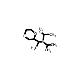 CC(C)N(C(C)C)C(C)C1COCCO1